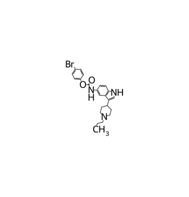 CCCN1CCC(c2c[nH]c3ccc(NC(=O)Oc4ccc(Br)cc4)cc23)CC1